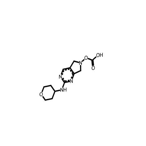 O=C(O)ON1Cc2cnc(NC3CCOCC3)nc2C1